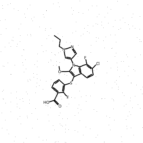 CCCn1cc(-n2c(OC)c(Sc3cccc(C(=O)O)c3F)c3ccc(Cl)c(F)c32)cn1